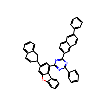 C1=CC(c2cc(-c3nc(-c4ccccc4)nc(-c4ccc5cc(-c6ccccc6)ccc5c4)n3)c3c(c2)oc2ccccc23)Cc2ccccc21